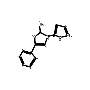 CCCCC1OC(c2ccccc2)=[C]N1c1ccno1